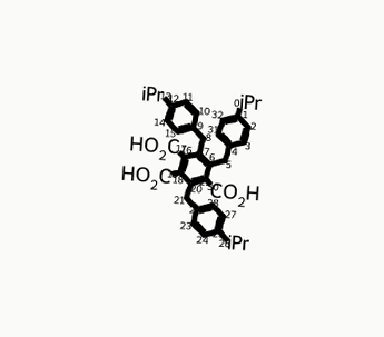 CC(C)c1ccc(Cc2c(Cc3ccc(C(C)C)cc3)c(C(=O)O)c(C(=O)O)c(Cc3ccc(C(C)C)cc3)c2C(=O)O)cc1